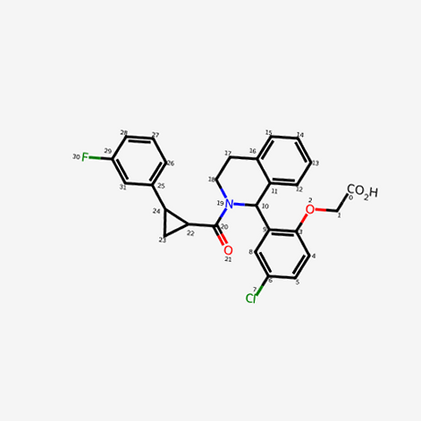 O=C(O)COc1ccc(Cl)cc1C1c2ccccc2CCN1C(=O)C1CC1c1cccc(F)c1